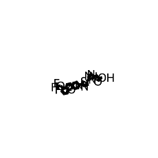 O=C(O)Cn1nnc(-c2cnc(N3CCC4(C=Cc5c(OC(F)(F)F)cccc5O4)CC3)s2)n1